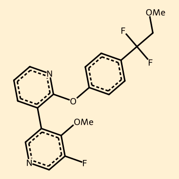 COCC(F)(F)c1ccc(Oc2ncccc2-c2cncc(F)c2OC)cc1